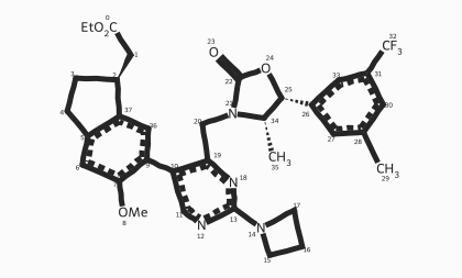 CCOC(=O)C[C@@H]1CCc2cc(OC)c(-c3cnc(N4CCC4)nc3CN3C(=O)O[C@H](c4cc(C)cc(C(F)(F)F)c4)[C@@H]3C)cc21